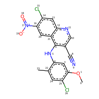 COc1cc(Nc2c(C#N)cnc3cc(Cl)c([N+](=O)[O-])cc23)c(C)cc1Cl